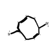 BrC1C=CCC(Br)C=CC1